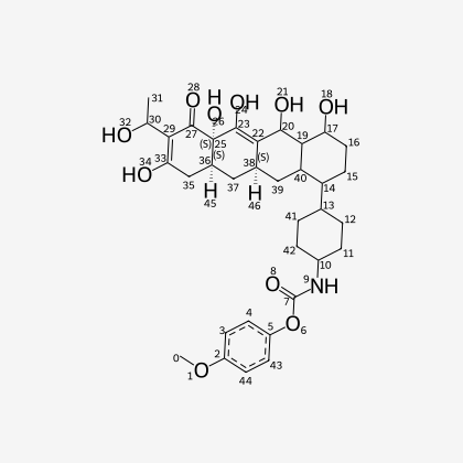 COc1ccc(OC(=O)NC2CCC(C3CCC(O)C4C(O)C5=C(O)[C@]6(O)C(=O)C(C(C)O)=C(O)C[C@@H]6C[C@@H]5CC34)CC2)cc1